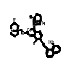 Oc1cccc2cccc(C#Cc3ccc4c(N5C[C@H]6CC[C@@H](C5)N6)nc(OC[C@@]56CCCN5C[C@H](F)C6)nc4c3F)c12